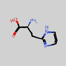 N[C@@H](Cc1ncc[nH]1)C(=O)O